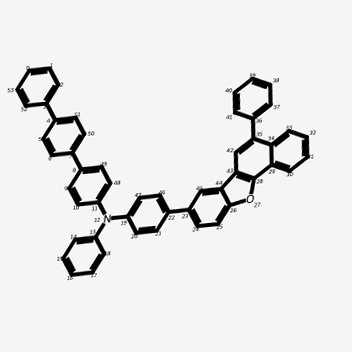 c1ccc(-c2ccc(-c3ccc(N(c4ccccc4)c4ccc(-c5ccc6oc7c8ccccc8c(-c8ccccc8)cc7c6c5)cc4)cc3)cc2)cc1